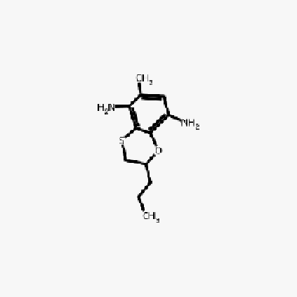 CCCC1CSc2c(N)c(C)cc(N)c2O1